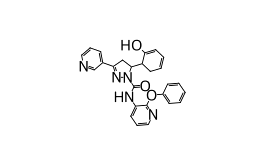 O=C(Nc1cccnc1Oc1ccccc1)N1N=C(c2cccnc2)CC1C1CC=CC=C1O